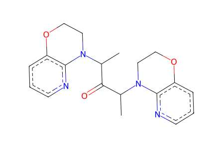 CC(C(=O)C(C)N1CCOc2cccnc21)N1CCOc2cccnc21